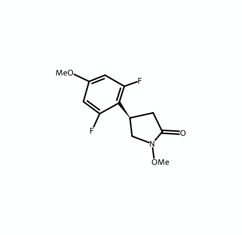 COc1cc(F)c([C@H]2CC(=O)N(OC)C2)c(F)c1